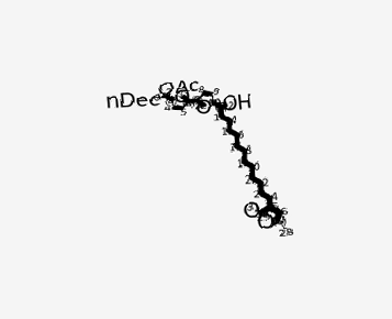 CCCCCCCCCC[C@H](OC(C)=O)[C@H]1CC[C@H]([C@H]2CC[C@H]([C@H](O)CCCCCCCCCCCCC3=C[C@H](C)OC3=O)O2)O1